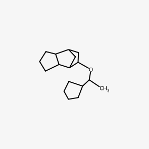 CC(OC1CC2CC1C1CCCC21)C1CCCC1